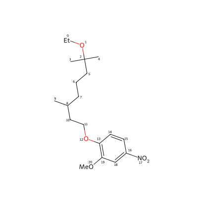 CCOC(C)(C)CCCC(C)CCOc1ccc([N+](=O)[O-])cc1OC